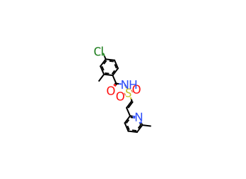 Cc1cccc(C=CS(=O)(=O)NC(=O)c2ccc(Cl)cc2C)n1